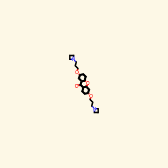 O=c1c2ccc(OCCCN3CCC3)cc2oc2ccc(OCCCN3CCC3)cc12